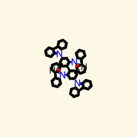 N#Cc1cc(-n2c3ccccc3c3ccccc32)cc(-n2c3ccccc3c3ccccc32)c1-c1c(C#N)cc(-n2c3ccccc3c3ccccc32)cc1-n1c2ccccc2c2ccccc21